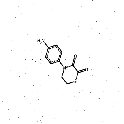 Nc1ccc(N2CCSC(=O)C2=O)cc1